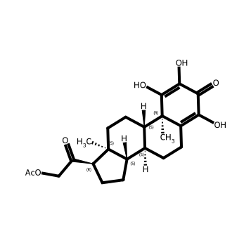 CC(=O)OCC(=O)[C@@H]1CC[C@H]2[C@@H]3CCC4=C(O)C(=O)C(O)=C(O)[C@]4(C)[C@H]3CC[C@]12C